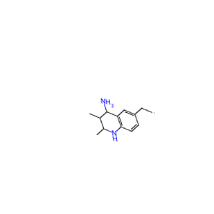 [CH2]Cc1ccc2c(c1)C(N)C(C)C(C)N2